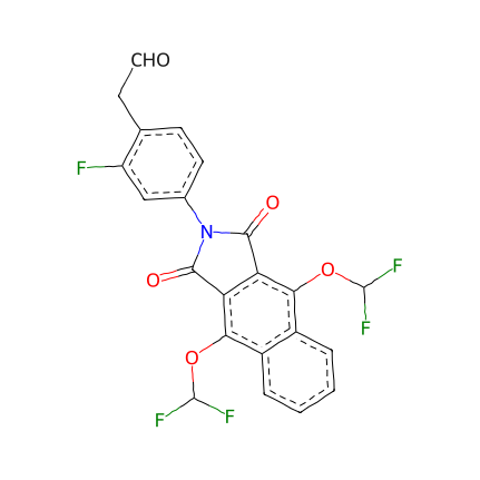 O=CCc1ccc(N2C(=O)c3c(c(OC(F)F)c4ccccc4c3OC(F)F)C2=O)cc1F